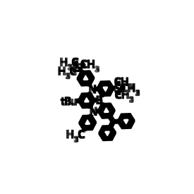 Cc1ccc(N2c3cc(C(c4ccccc4)c4ccccc4)ccc3B3c4cc([Si](C)(C)C)ccc4N(c4ccc([Si](C)(C)C)cc4)c4cc(C(C)(C)C)cc2c43)cc1